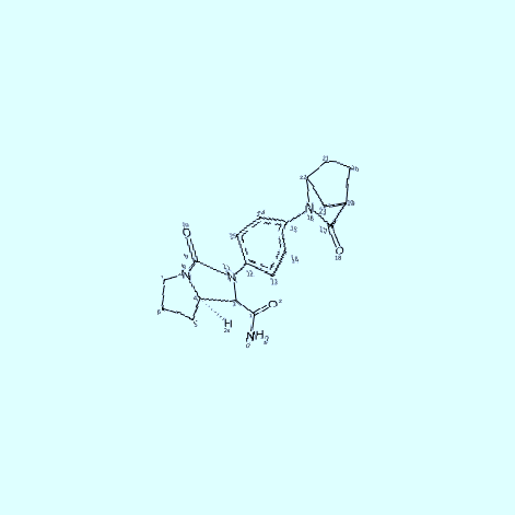 NC(=O)C1[C@H]2[CH]CCN2C(=O)N1c1ccc(N2C(=O)C3CCC2C3)cc1